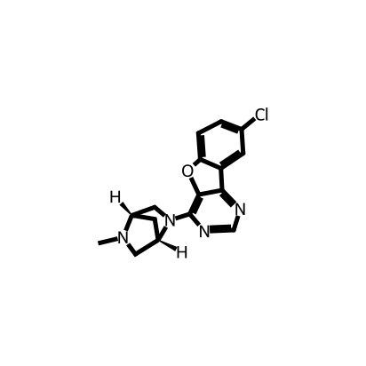 CN1C[C@@H]2C[C@H]1CN2c1ncnc2c1oc1ccc(Cl)cc12